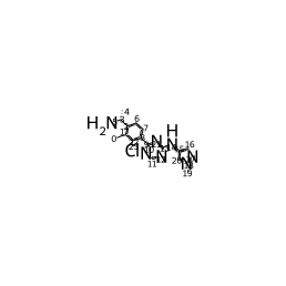 Cc1c([C@@H](C)N)ccc(-c2ncnc(Nc3cnn(C)c3)n2)c1Cl